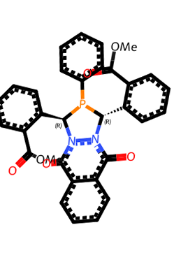 COC(=O)c1ccccc1[C@@H]1n2c(=O)c3ccccc3c(=O)n2[C@@H](c2ccccc2C(=O)OC)P1c1ccccc1